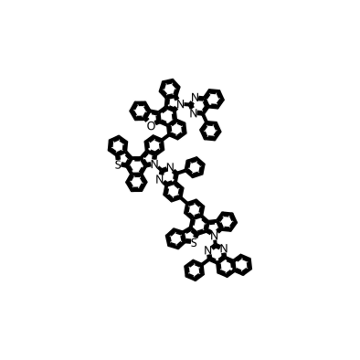 c1ccc(-c2nc(-n3c4ccccc4c4c5c6ccccc6oc5c5c(-c6ccc7c8c9c%10ccccc%10sc9c9ccccc9c8n(-c8nc(-c9ccccc9)c9cc(-c%10ccc%11c(c%10)c%10c%12ccccc%12sc%10c%10c%11c%11ccccc%11n%10-c%10nc(-c%11ccccc%11)c%11ccc%12ccccc%12c%11n%10)ccc9n8)c7c6)cccc5c43)nc3ccccc23)cc1